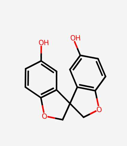 Oc1ccc2c(c1)C1(CO2)COc2ccc(O)cc21